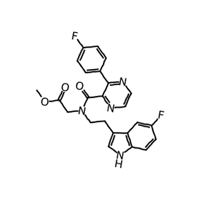 COC(=O)CN(CCc1c[nH]c2ccc(F)cc12)C(=O)c1nccnc1-c1ccc(F)cc1